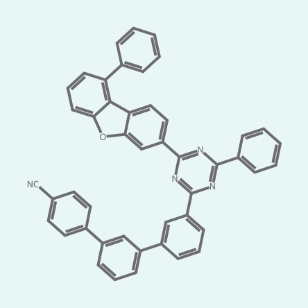 N#Cc1ccc(-c2cccc(-c3cccc(-c4nc(-c5ccccc5)nc(-c5ccc6c(c5)oc5cccc(-c7ccccc7)c56)n4)c3)c2)cc1